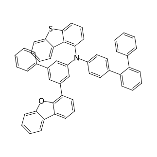 c1ccc(-c2cc(-c3cccc4c3oc3ccccc34)cc(N(c3ccc(-c4ccccc4-c4ccccc4)cc3)c3cccc4sc5ccccc5c34)c2)cc1